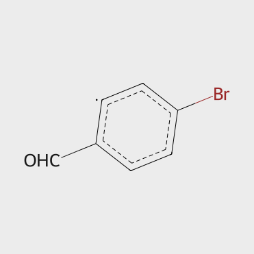 O=Cc1[c]cc(Br)cc1